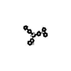 C1=CC2C[C@@H](c3cc(-c4ccc(-n5c6ccccc6c6ccccc65)cc4)nc(-c4ccc(-c5ccccc5)cc4)n3)C=C[C@H]2C=C1